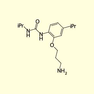 CC(C)NC(=O)Nc1ccc(C(C)C)cc1OCCCN